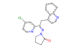 O=C1CCCN1N=C(Cc1ccnc2ccccc12)c1cc(Cl)ccn1